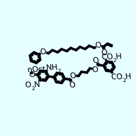 C=CC(=O)OCCCCCCCCCCCOc1ccccc1.CCCCCCCCOc1cc(N)c(-c2ccc(C(=O)OCCCCOC(=O)c3cc(C(=O)O)ccc3C(=O)O)cc2)cc1[N+](=O)[O-]